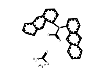 NC([O-])=S.[Mg+2].[O-]C(=S)N(c1cccc2cc3ccccc3cc12)c1cccc2cc3ccccc3cc12